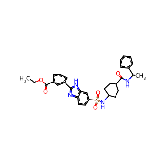 CCOC(=O)c1cccc(-c2nc3ccc(S(=O)(=O)NC4CCC(C(=O)NC(C)c5ccccc5)CC4)cc3[nH]2)c1